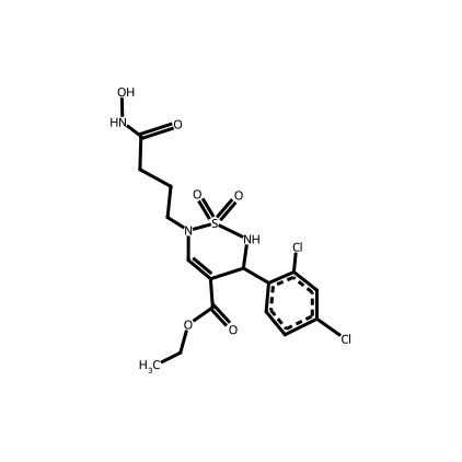 CCOC(=O)C1=CN(CCCC(=O)NO)S(=O)(=O)NC1c1ccc(Cl)cc1Cl